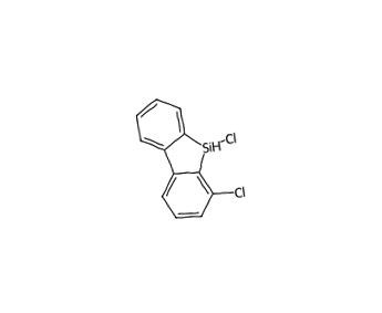 Clc1cccc2c1[SiH](Cl)c1ccccc1-2